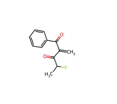 C=C(C(=O)c1ccccc1)C(=O)C(C)F